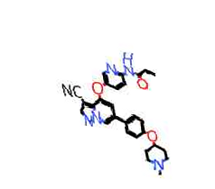 C=CC(=O)Nc1ccc(Oc2cc(-c3ccc(OC4CCN(C)CC4)cc3)cn3ncc(C#N)c23)cn1